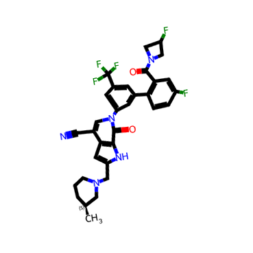 C[C@H]1CCCN(Cc2cc3c(C#N)cn(-c4cc(-c5ccc(F)cc5C(=O)N5CC(F)C5)cc(C(F)(F)F)c4)c(=O)c3[nH]2)C1